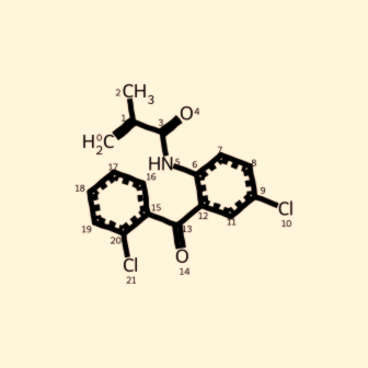 C=C(C)C(=O)Nc1ccc(Cl)cc1C(=O)c1ccccc1Cl